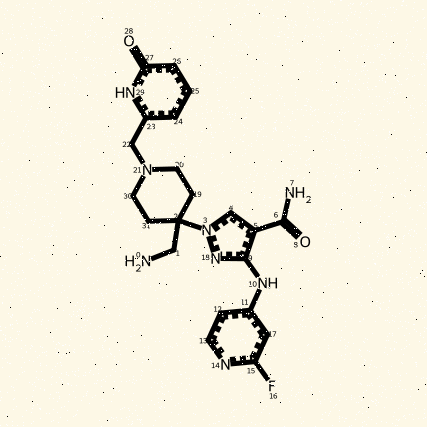 NCC1(n2cc(C(N)=O)c(Nc3ccnc(F)c3)n2)CCN(Cc2cccc(=O)[nH]2)CC1